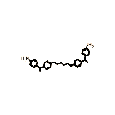 CC(c1ccc(N)cc1)c1ccc(CCCCCCc2ccc(C(C)c3ccc(N)cc3)cc2)cc1